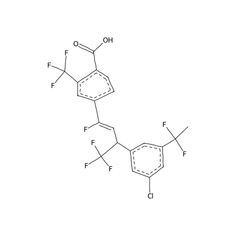 CC(F)(F)c1cc(Cl)cc(C(/C=C(\F)c2ccc(C(=O)O)c(C(F)(F)F)c2)C(F)(F)F)c1